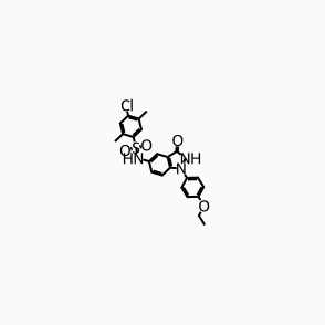 CCOc1ccc(-n2[nH]c(=O)c3cc(NS(=O)(=O)c4cc(C)c(Cl)cc4C)ccc32)cc1